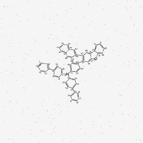 c1ccc(-c2ccc(N(c3ccc(-c4ccccc4)cc3)c3ccc(-c4cc5oc6ccccc6c5cc4-c4ccc5ccccc5c4)cc3)cc2)cc1